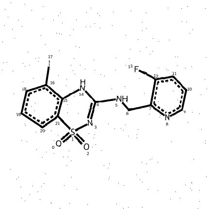 O=S1(=O)N=C(NCc2ncccc2F)Nc2c(I)cccc21